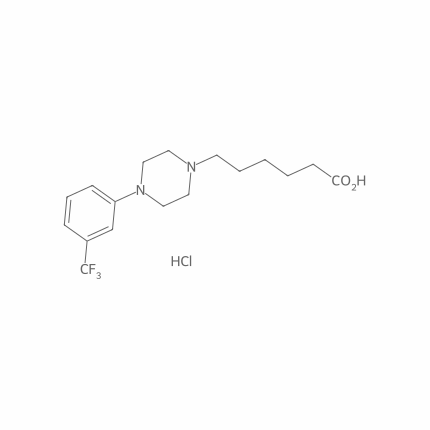 Cl.O=C(O)CCCCCN1CCN(c2cccc(C(F)(F)F)c2)CC1